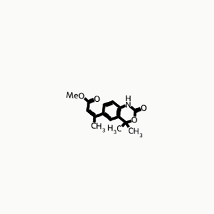 COC(=O)/C=C(/C)c1ccc2c(c1)C(C)(C)OC(=O)N2